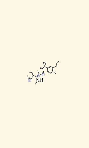 C=C(/C=C\C(C)=C(/NC)C(=CC)/C=C\C)C1(c2ccc(C)c(CCC)c2)CC1